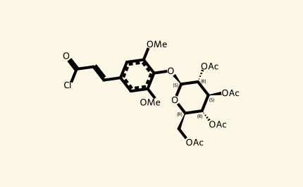 COc1cc(C=CC(=O)Cl)cc(OC)c1O[C@@H]1O[C@H](COC(C)=O)[C@@H](OC(C)=O)[C@H](OC(C)=O)[C@H]1OC(C)=O